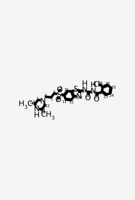 C[C@@H]1CN(CCCS(=O)(=O)c2ccc3nc(NC(=O)NC(=O)c4ccccc4Cl)sc3c2)C[C@H](C)N1